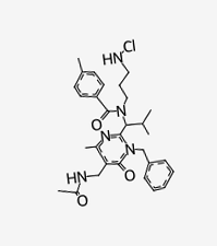 CC(=O)NCc1c(C)nc(C(C(C)C)N(CCCNCl)C(=O)c2ccc(C)cc2)n(Cc2ccccc2)c1=O